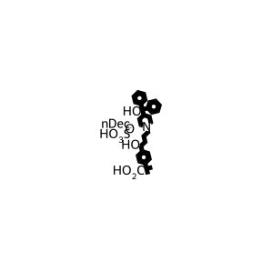 CC(C)(C(=O)O)c1ccc(C(O)CCCN2CCC(C(O)(c3ccccc3)c3ccccc3)CC2)cc1.CCCCCCCCCCOS(=O)(=O)O